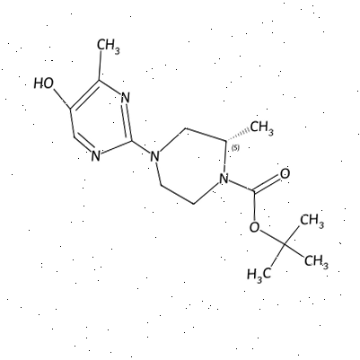 Cc1nc(N2CCN(C(=O)OC(C)(C)C)[C@@H](C)C2)ncc1O